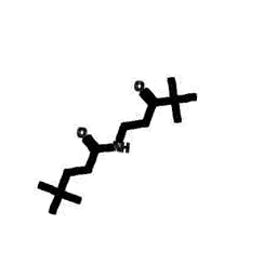 CC(C)(C)CCC(=O)NCCC(=O)C(C)(C)C